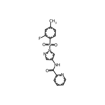 Cc1ccc(S(=O)(=O)n2cc(NC(=O)c3ccccn3)cn2)c(F)c1